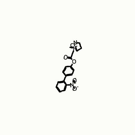 O=C(Oc1ccc(-c2ccccc2[N+](=O)[O-])cc1)N1CCN2CCC1CC2